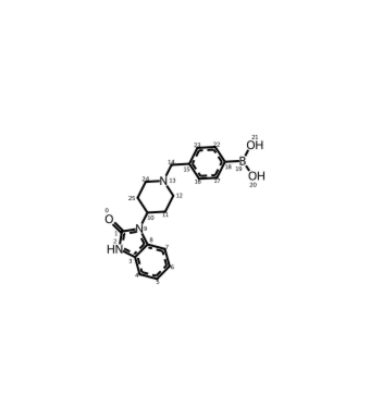 O=c1[nH]c2ccccc2n1C1CCN(Cc2ccc(B(O)O)cc2)CC1